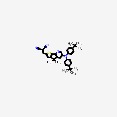 CC(C)(C)C1=CCC(N(c2ccc(C(C)(C)C)cc2)c2cnc3c(c2)C(C)(C)c2cc(C=C(C#N)C#N)sc2-3)C=C1